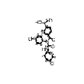 CC(C)C(O)c1ccc(C(=O)N(C(=O)Nc2ccc(Cl)cn2)c2ccc(Cl)cc2)cc1